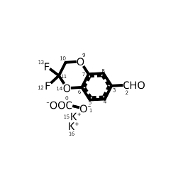 O=C([O-])[O-].O=Cc1ccc2c(c1)OCC(F)(F)O2.[K+].[K+]